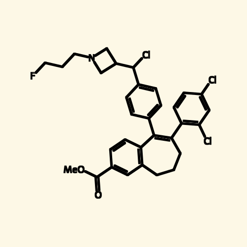 COC(=O)c1ccc2c(c1)CCCC(c1ccc(Cl)cc1Cl)=C2c1ccc(C(Cl)C2CN(CCCF)C2)cc1